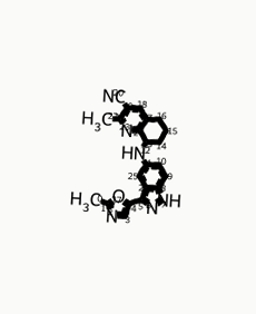 Cc1ncc(-c2n[nH]c3ccc(NC4CCCc5cc(C#N)c(C)nc54)cc23)o1